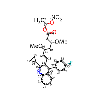 CO[C@@H](CC(=O)OC(C)O[N+](=O)[O-])C[C@@H](/C=C/c1c(C2CC2)nc2ccccc2c1-c1ccc(F)cc1)OC